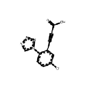 O=C(O)C#Cc1cc(Cl)ccc1-n1cnnn1